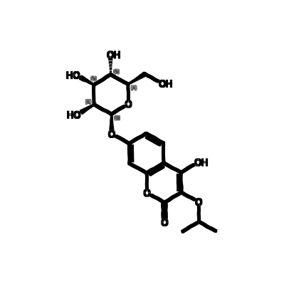 CC(C)Oc1c(O)c2ccc(O[C@@H]3O[C@H](CO)[C@@H](O)[C@H](O)[C@@H]3O)cc2oc1=O